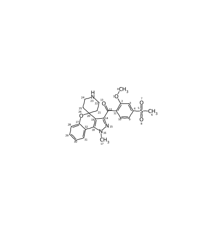 COc1cc(S(C)(=O)=O)ccc1C(=O)c1nn(C)c2c1C1(CCNCC1)Oc1ccccc1-2